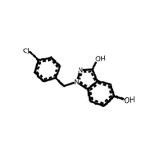 Oc1ccc2c(c1)c(O)nn2Cc1ccc(Cl)cc1